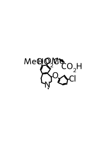 COc1cc2c(cc1OC)C(Oc1cccc(Cl)c1)CN(C)CC2.O=C(O)/C=C\C(=O)O